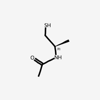 CC(=O)N[C@H](C)CS